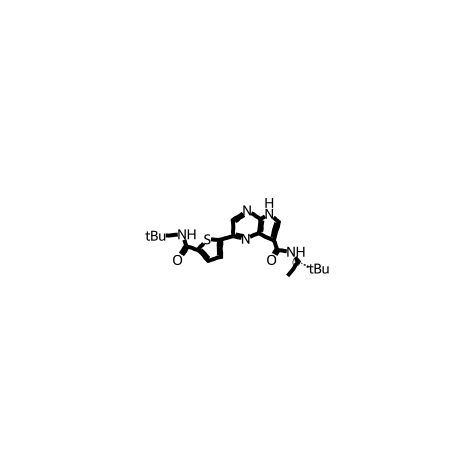 C[C@H](NC(=O)c1c[nH]c2ncc(-c3ccc(C(=O)NC(C)(C)C)s3)nc12)C(C)(C)C